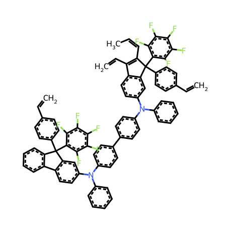 C=CC1=C(/C=C\C)C(c2ccc(C=C)cc2)(c2c(F)c(F)c(F)c(F)c2F)c2cc(N(c3ccccc3)c3ccc(-c4ccc(N(c5ccccc5)c5ccc6c(c5)C(c5ccc(C=C)cc5)(c5c(F)c(F)c(F)c(F)c5F)c5ccccc5-6)cc4)cc3)ccc21